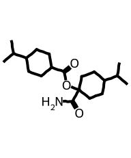 CC(C)C1CCC(C(=O)OC2(C(N)=O)CCC(C(C)C)CC2)CC1